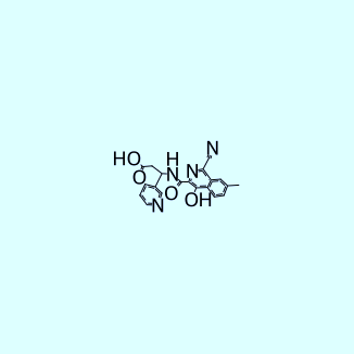 Cc1ccc2c(O)c(C(=O)NC(CC(=O)O)c3cccnc3)nc(C#N)c2c1